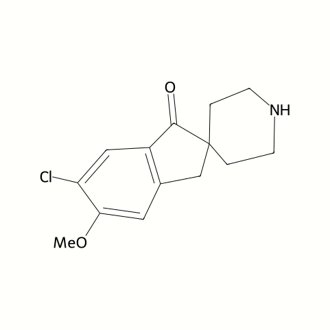 COc1cc2c(cc1Cl)C(=O)C1(CCNCC1)C2